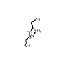 NN.OCCNCCO